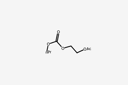 CCCOC(=O)OCCOC(C)=O